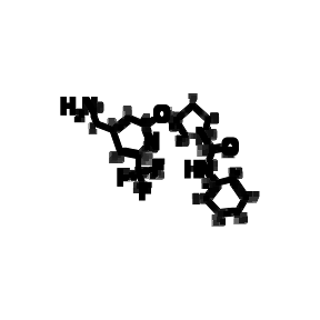 NCc1cc(O[C@@H]2CCN(C(=O)Nc3ccccc3)C2)nc(C(F)(F)F)c1